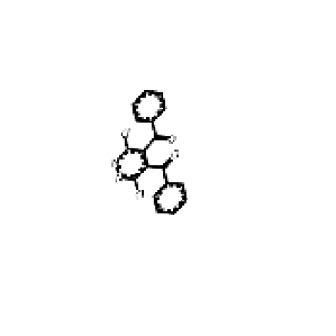 O=C(c1ccccc1)c1c(Cl)nnc(Cl)c1C(=O)c1ccccc1